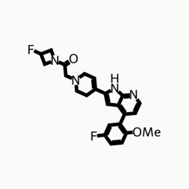 COc1ccc(F)cc1-c1ccnc2[nH]c(C3=CCN(CC(=O)N4CC(F)C4)CC3)cc12